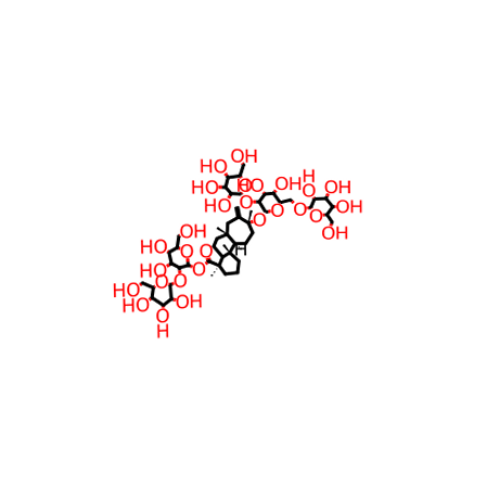 C=C1C[C@@]2(C)CCC3[C@](C)(C(=O)OC4OC(CO)C(O)C(O)C4OC4OC(CO)C(O)C(O)C4O)CCC[C@@]3(C)[C@@H]2CC[C@@]1(C)OC1OC(COC2OC(CO)C(O)C(O)C2O)C(O)C(O)C1OC1OC(CO)C(O)C(O)C1O